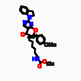 COc1ccc(COc2nc(N3CCc4ccccc43)ncc2C(=O)[AsH]CCCCCCNC(=O)OC(C)(C)C)cc1